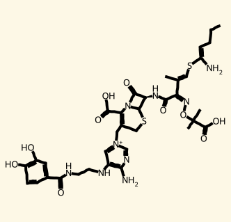 CCC/C=C(\N)S/C=C(C)/C(=N/OC(C)(C)C(=O)O)C(=O)N[C@@H]1C(=O)N2C(C(=O)O)=C(C[n+]3cnc(N)c(NCCNC(=O)c4ccc(O)c(O)c4)c3)CSC12